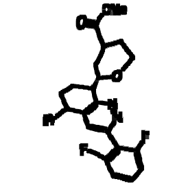 COC(=O)C1CCO[C@@H](C2CCC(C(C)C)c3cc(-c4c(F)cccc4F)nnc32)C1